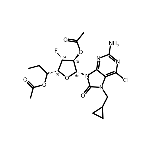 CCC(OC(C)=O)[C@H]1O[C@@H](n2c(=O)n(CC3CC3)c3c(Cl)nc(N)nc32)[C@H](OC(C)=O)[C@H]1F